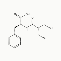 O=C(N[C@@H](Cc1ccccc1)C(=O)O)C(CS)CS